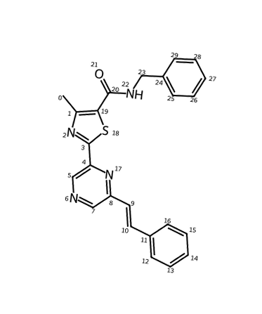 Cc1nc(-c2cncc(C=Cc3ccccc3)n2)sc1C(=O)NCc1ccccc1